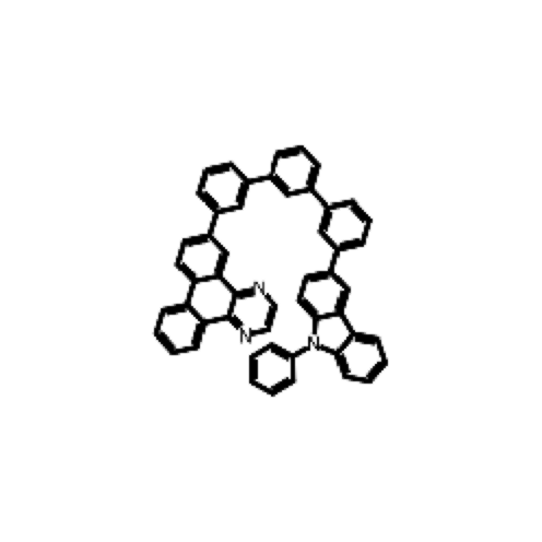 c1ccc(-n2c3ccccc3c3cc(-c4cccc(-c5cccc(-c6cccc(-c7ccc8c9ccccc9c9nccnc9c8c7)c6)c5)c4)ccc32)cc1